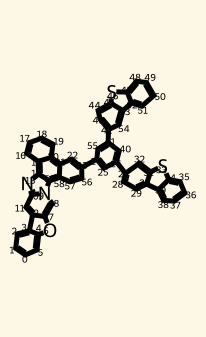 c1ccc2c(c1)oc1cn3c(cc12)nc1c2ccccc2c2cc(-c4cc(-c5ccc6c(c5)sc5ccccc56)cc(-c5ccc6sc7ccccc7c6c5)c4)ccc2c13